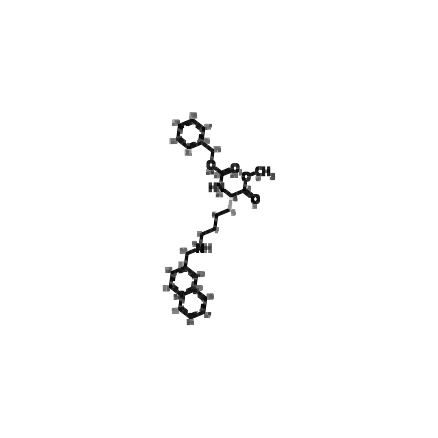 COC(=O)[C@H](CCCCNCc1ccc2ccccc2c1)NC(=O)OCc1ccccc1